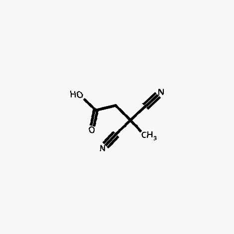 CC(C#N)(C#N)CC(=O)O